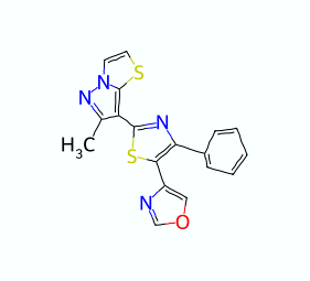 Cc1nn2ccsc2c1-c1nc(-c2ccccc2)c(-c2cocn2)s1